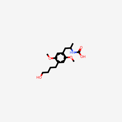 COc1cc(CC(C)NC(=O)O)c(OC)cc1CCCCO